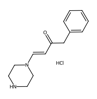 Cl.O=C(C=CN1CCNCC1)Cc1ccccc1